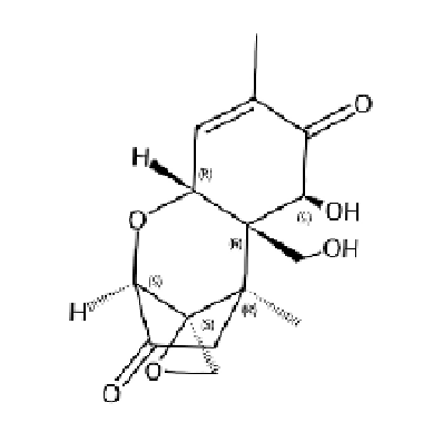 CC1=C[C@H]2O[C@@H]3C(=O)C[C@](C)([C@@]2(CO)[C@H](O)C1=O)[C@]31CO1